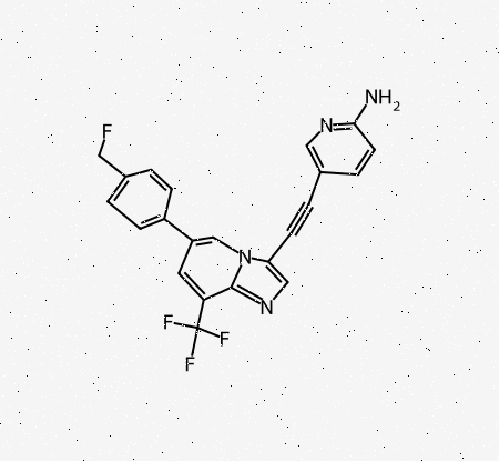 Nc1ccc(C#Cc2cnc3c(C(F)(F)F)cc(-c4ccc(CF)cc4)cn23)cn1